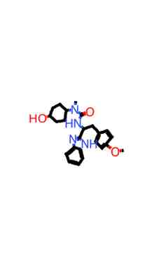 COc1ccc(CC(NC(=O)N(C)C2CCC(O)CC2)c2nc3ccccc3[nH]2)cc1